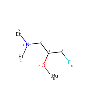 CCN(CC)CC(CF)OC(C)(C)C